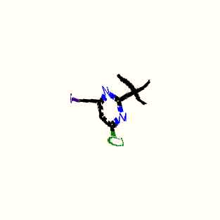 CC(C)(C)c1nc(Cl)cc(I)n1